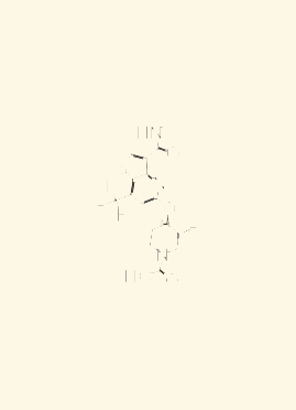 CNC(=O)c1csc2c(C(F)(F)F)cc(O[C@@H]3CCN(C(=O)O)C[C@@H]3F)nc12